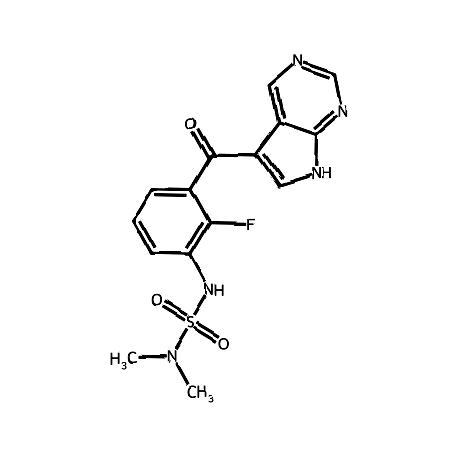 CN(C)S(=O)(=O)Nc1cccc(C(=O)c2c[nH]c3ncncc23)c1F